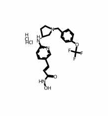 Cl.Cl.O=C(/C=C/c1ccc(N[C@@H]2CCN(Cc3ccc(OC(F)(F)F)cc3)C2)nc1)NO